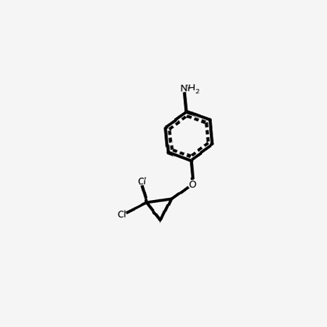 Nc1ccc(OC2CC2(Cl)Cl)cc1